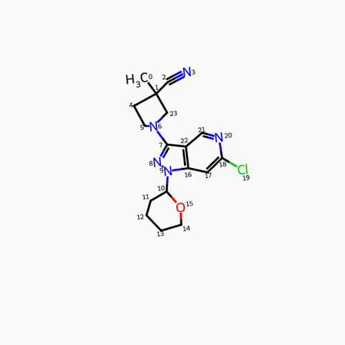 CC1(C#N)CCN(c2nn(C3CCCCO3)c3cc(Cl)ncc23)C1